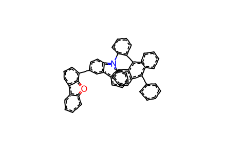 c1ccc(-c2c3ccccc3c(-c3ccccc3-n3c4ccccc4c4cc(-c5cccc6c5oc5ccccc56)ccc43)c3ccccc23)cc1